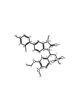 CCOc1nc(C(CS(C)(=O)=O)n2c(=O)n(C)c3cc(-c4ccc(C)cc4C)ccc32)ccc1OC